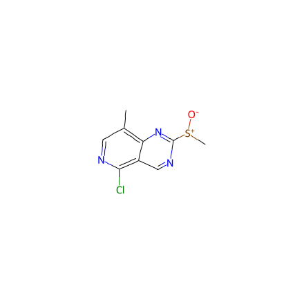 Cc1cnc(Cl)c2cnc([S+](C)[O-])nc12